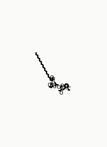 CCCCCCCCCCCCCCCCc1cc(OCC(COC(=O)N(Cc2cccc[n+]2CC)C(C)=O)Oc2ccon2)no1